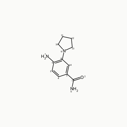 NC(=O)c1ccc(N)c(N2CCCC2)c1